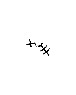 FC(OCC(F)(F)F)C(F)(F)C(F)(F)F